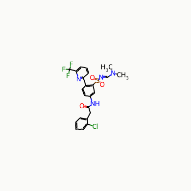 CN(C)C=NS(=O)(=O)c1cc(NC(=O)Cc2ccccc2Cl)ccc1-c1cccc(C(F)(F)F)n1